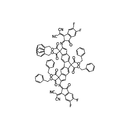 N#CC(C#N)=C1/C(=N/C2=Cc3cc4c(cc3C2(C(=O)OCc2ccccc2)C(=O)OCc2ccccc2)-c2cc3c(cc2C4(C(=O)OCc2ccccc2)C(=O)OCc2ccccc2)C=C(/N=C2\C(=O)c4cc(F)c(F)cc4C2=C(C#N)C#N)C3(C(=O)OCc2ccccc2)C(=O)OCc2ccccc2)C(=O)c2cc(F)c(F)cc21